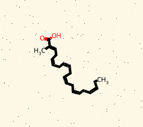 CC/C=C\C/C=C\C/C=C\C/C=C\C/C=C\C/C=C(\C)C(=O)O